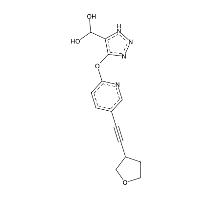 OC(O)c1[nH]nnc1Oc1ccc(C#CC2CCOC2)cn1